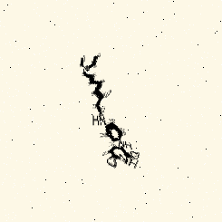 CCN(CC)CCCCCCCCNc1ccc(NC2CCC(=O)NC2=O)cc1